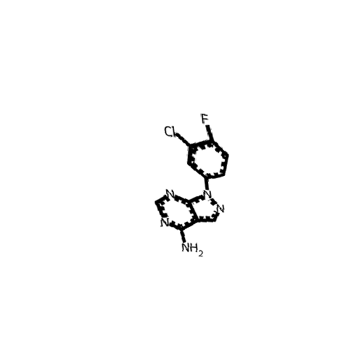 Nc1ncnc2c1cnn2-c1ccc(F)c(Cl)c1